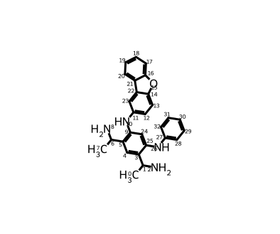 CC(N)c1cc(C(C)N)c(Nc2ccc3oc4ccccc4c3c2)cc1Nc1ccccc1